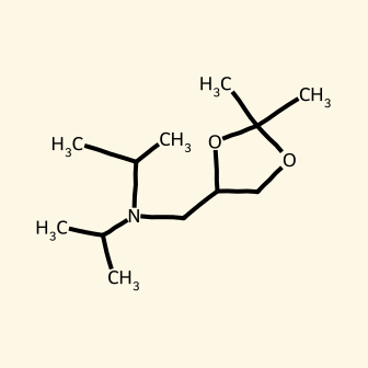 CC(C)N(CC1COC(C)(C)O1)C(C)C